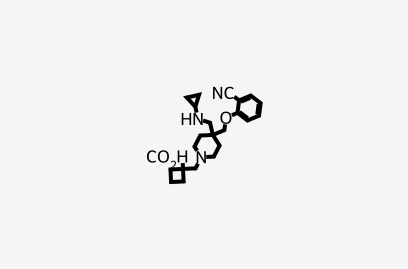 N#Cc1ccccc1OCC1(CNC2CC2)CCN(CC2(C(=O)O)CCC2)CC1